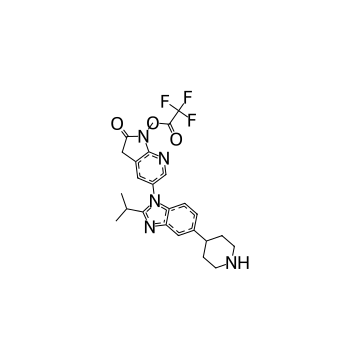 CC(C)c1nc2cc(C3CCNCC3)ccc2n1-c1cnc2c(c1)CC(=O)N2OC(=O)C(F)(F)F